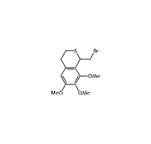 COc1cc2c(c(OC)c1OC)C(CBr)SCC2